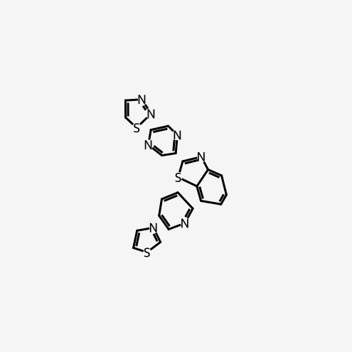 c1ccc2scnc2c1.c1ccncc1.c1cnccn1.c1cscn1.c1csnn1